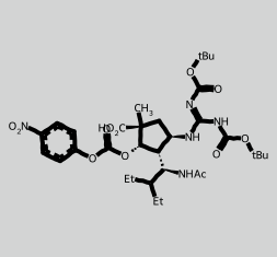 CCC(CC)[C@H](NC(C)=O)[C@H]1[C@H](NC(=NC(=O)OC(C)(C)C)NC(=O)OC(C)(C)C)C[C@](C)(C(=O)O)[C@H]1OC(=O)Oc1ccc([N+](=O)[O-])cc1